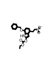 CCOC(=O)Oc1cc2c(CC[N+](=O)[O-])ccc(OCc3ccccc3)c2[nH]1